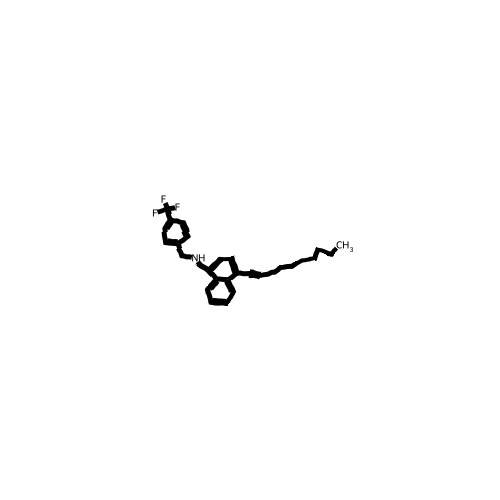 CCCCCCCCC#Cc1ccc(CNCc2ccc(C(F)(F)F)cc2)c2ccccc12